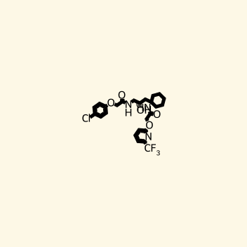 O=C(COc1ccc(Cl)cc1)NC[C@@H](O)CC1(NC(=O)COc2cccc(C(F)(F)F)n2)CCCCC1